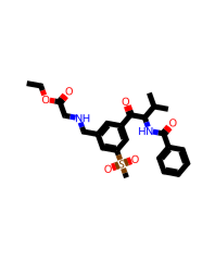 CCOC(=O)CNCc1cc(C(=O)C(NC(=O)c2ccccc2)C(C)C)cc(S(C)(=O)=O)c1